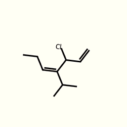 C=CC(Cl)/C(=C\CC)C(C)C